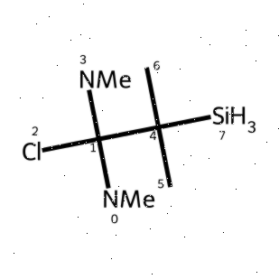 CNC(Cl)(NC)C(C)(C)[SiH3]